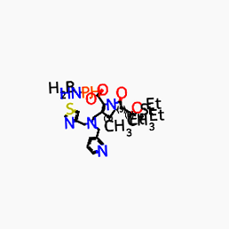 BNPOC(=O)C1=C(CN(Cc2cccnc2)Cc2cscn2)[C@H](C)C2[C@@H]([C@@H](C)O[Si](CC)(CC)CC)C(=O)N12